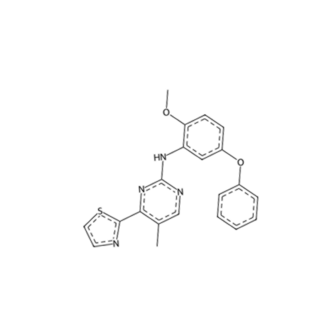 COc1ccc(Oc2ccccc2)cc1Nc1ncc(C)c(-c2nccs2)n1